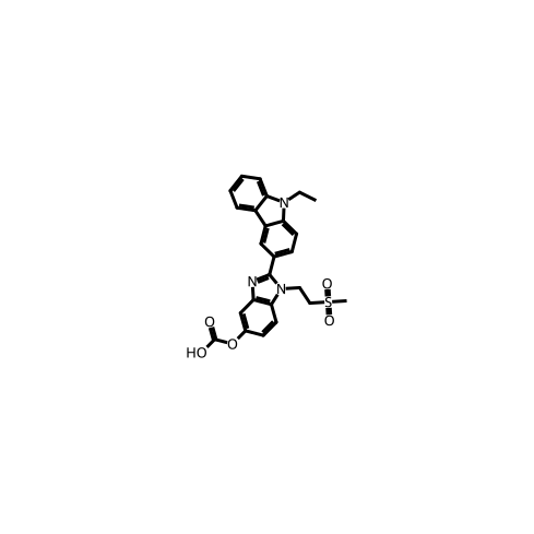 CCn1c2ccccc2c2cc(-c3nc4cc(OC(=O)O)ccc4n3CCS(C)(=O)=O)ccc21